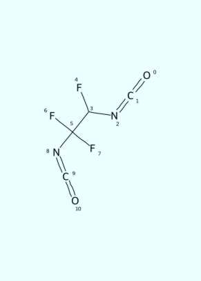 O=C=NC(F)C(F)(F)N=C=O